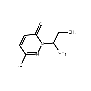 CCC(C)n1nc(C)ccc1=O